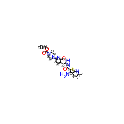 Cc1ccc2c(N)c(C(=O)N[C@H]3COc4nc(N5CCN(C(=O)OC(C)(C)C)CC5)ccc4C3)sc2n1